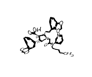 CCCCN(C(=O)CN1C[C@H](c2ccc3c(c2)OCO3)[C@@H](C(=O)O)[C@@H]1CCc1cccc2c1OCO2)c1cccnc1